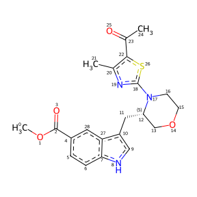 COC(=O)c1ccc2[nH]cc(C[C@H]3COCCN3c3nc(C)c(C(C)=O)s3)c2c1